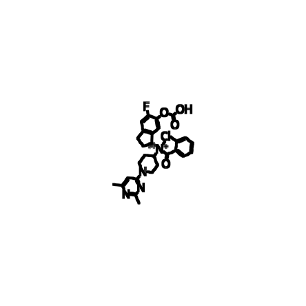 Cc1cc(N2CCC([N+](C)(C(=O)c3ccccc3Cl)[C@@H]3CCc4cc(F)c(OC(=O)O)cc43)CC2)nc(C)n1